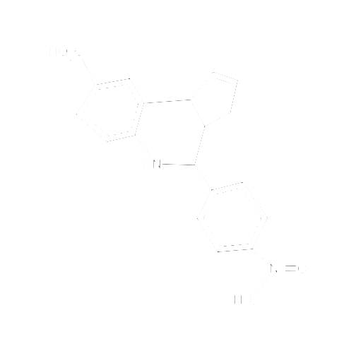 C[N+](=O)c1ccc(C2Nc3ccc(C(=O)O)cc3C3C=CCC32)cc1